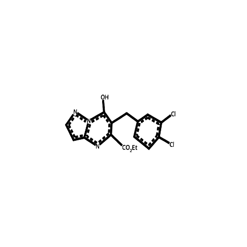 CCOC(=O)c1nc2ccnn2c(O)c1Cc1ccc(Cl)c(Cl)c1